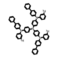 [3H]c1cccc(N(c2ccc(-c3ccccc3)cc2)c2ccc(N(c3ccc(N(c4ccc(-c5ccccc5)cc4)c4cccc([3H])c4)cc3)c3ccc(N(c4ccc(-c5ccccc5)cc4)c4cccc([3H])c4)cc3)cc2)c1